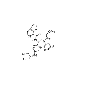 COCC(=O)N1C[C@H](NC(=O)c2nccc3ccccc23)C(=O)N(CC(=O)N[C@H](C=O)CC(C)=O)c2ccc(F)cc21